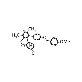 COc1ccc(COc2ccc(-c3c(C)nc(C)c(CC(=O)O)c3-c3ccc(Cl)cc3)cc2)cc1